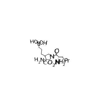 CC(C)C[C@H](N)C(=O)N1CC(CCCB(O)O)[C@](N)(C(=O)O)C1